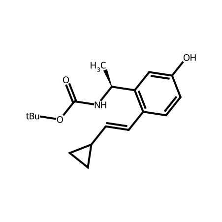 C[C@H](NC(=O)OC(C)(C)C)c1cc(O)ccc1/C=C/C1CC1